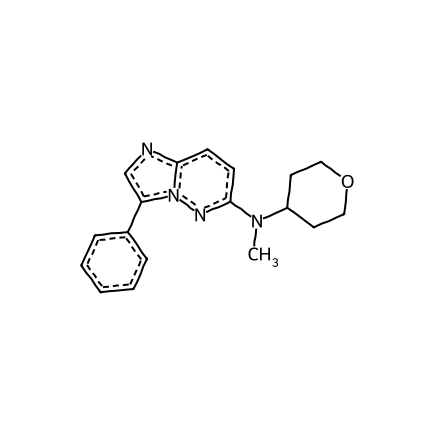 CN(c1ccc2ncc(-c3ccccc3)n2n1)C1CCOCC1